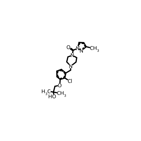 Cc1ccn(C(=O)N2CCN(Cc3cccc(OCC(C)(C)O)c3Cl)CC2)n1